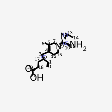 C=C/C(=C\C1=C(C)CN(C(=C/N)/N=C\C)CC1)CCC(=O)O